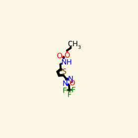 CCCOC(=O)NCc1ccc(-c2noc(C(F)(F)F)n2)s1